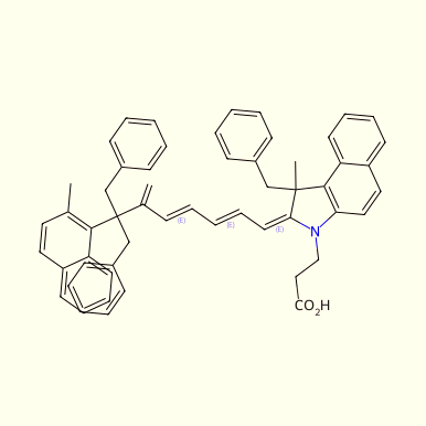 C=C(/C=C/C=C/C=C1/N(CCC(=O)O)c2ccc3ccccc3c2C1(C)Cc1ccccc1)C(Cc1ccccc1)(Cc1ccccc1)c1c(C)ccc2ccccc12